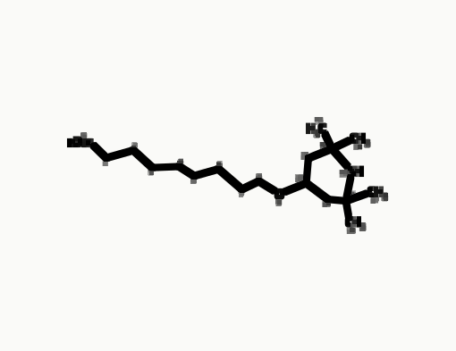 CCCCCCCCCCCCCCCCCCOC1CC(C)(C)NC(C)(C)C1